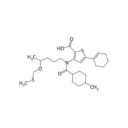 CSCOC(C)CCCN(C(=O)C1CCC(C)CC1)c1cc(C2=CCCCC2)sc1C(=O)O